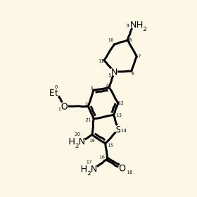 CCOc1cc(N2CCC(N)CC2)cc2sc(C(N)=O)c(N)c12